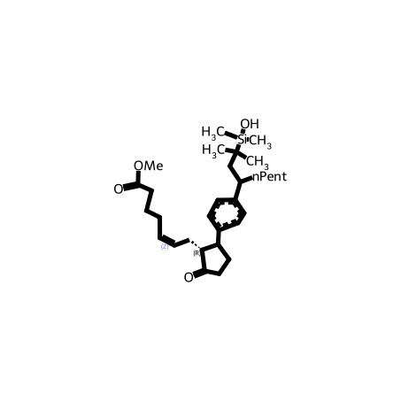 CCCCCC(CC(C)(C)[Si](C)(C)O)c1ccc(C2CCC(=O)[C@@H]2C/C=C\CCCC(=O)OC)cc1